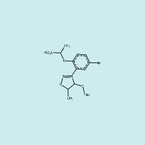 CCCCOC1C(c2cc(Br)ccc2OC(C)C(=O)O)=NOC1C